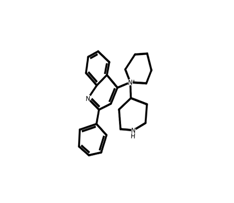 c1ccc(-c2cc([N+]3(C4CCNCC4)CCCCC3)c3ccccc3n2)cc1